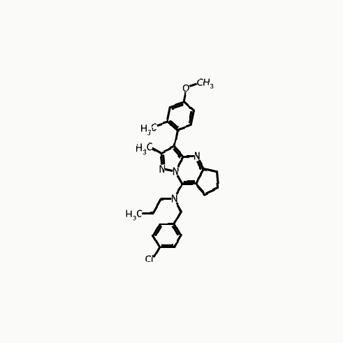 CCCN(Cc1ccc(Cl)cc1)c1c2c(nc3c(-c4ccc(OC)cc4C)c(C)nn13)CCC2